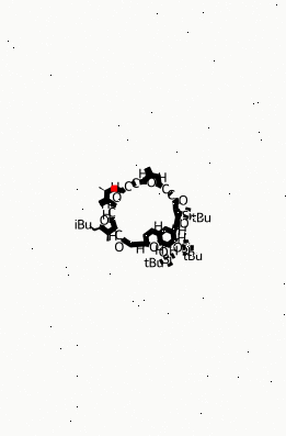 C=C1C[C@@H]2CCC(=O)/C=C/[C@H](O[Si](C)(C)C(C)(C)C)[C@@H]3C[C@H]4CC[C@H](CC(=O)C[C@@H]5[C@@H](C)[C@@H](C[C@H](C)CC)O[C@H]5C[C@H]5O[C@@H](CC[C@@H]1O2)C[C@@H](C)C5=C)O[C@@H]4[C@H](O[Si](C)(C)C(C)(C)C)[C@@H]3O[Si](C)(C)C(C)(C)C